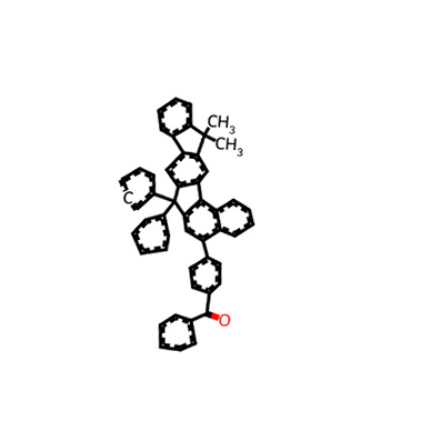 CC1(C)c2ccccc2-c2cc3c(cc21)-c1c(cc(-c2ccc(C(=O)c4ccccc4)cc2)c2ccccc12)C3(c1ccccc1)c1ccccc1